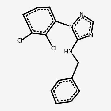 Clc1cccc(-n2ncnc2NCc2ccccc2)c1Cl